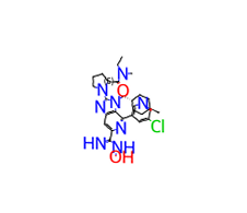 CCN(C)C(=O)[C@@H]1CCCN1c1nc2cc(C(=N)NO)nc(-c3cncc(Cl)c3)c2n1C[C@H]1CC[C@H](C)CC1